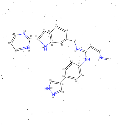 C=N/C=C\C(=N/Cc1ccc2cc(-c3ncccn3)[nH]c2c1)Nc1ccc(-c2cn[nH]c2)cc1